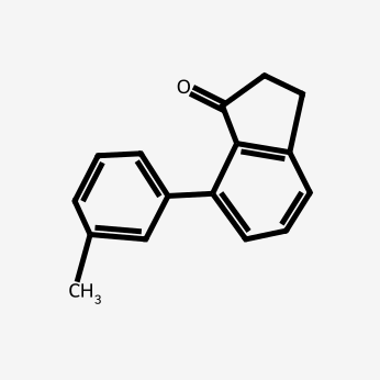 Cc1cccc(-c2cccc3c2C(=O)CC3)c1